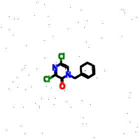 O=c1c(Cl)nc(Cl)cn1CC1=CC=CCC1